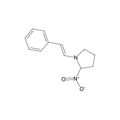 O=[N+]([O-])C1CCCN1C=Cc1ccccc1